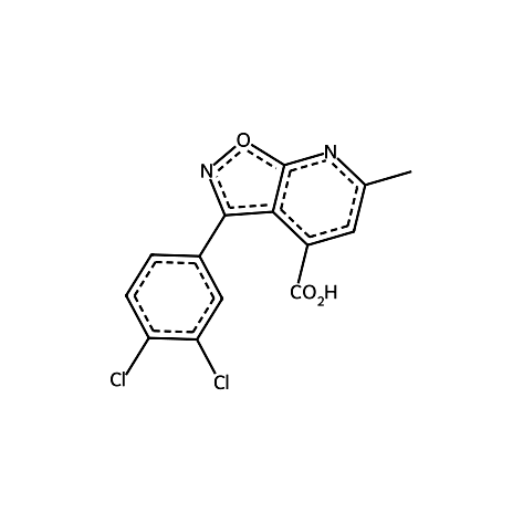 Cc1cc(C(=O)O)c2c(-c3ccc(Cl)c(Cl)c3)noc2n1